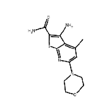 Cc1cc(N2CCOCC2)nc2sc(C(N)=O)c(N)c12